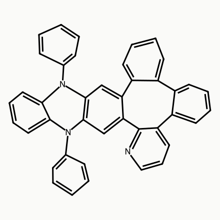 c1ccc(-n2c3ccccc3n(-c3ccccc3)c3cc4c(cc32)c2ccccc2c2ccccc2c2cccnc24)cc1